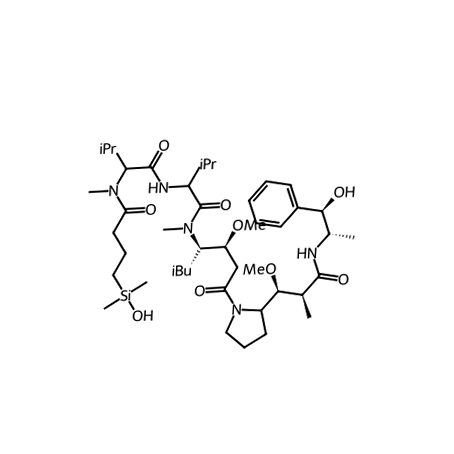 CC[C@@H](C)[C@H]([C@H](CC(=O)N1CCCC1[C@@H](OC)[C@H](C)C(=O)N[C@@H](C)[C@H](O)c1ccccc1)OC)N(C)C(=O)C(NC(=O)C(C(C)C)N(C)C(=O)CCC[Si](C)(C)O)C(C)C